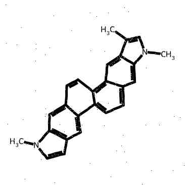 Cc1cn(C)c2cc3ccc4c5cc6ccn(C)c6cc5ccc4c3cc12